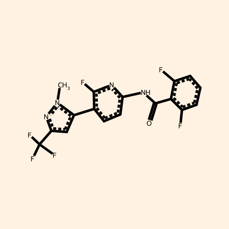 Cn1nc(C(F)(F)F)cc1-c1ccc(NC(=O)c2c(F)cccc2F)nc1F